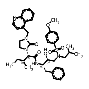 CC[C@H](C)[C@@H](C(=O)N[C@@H](Cc1ccccc1)[C@@H](O)CN(CC(C)C)S(=O)(=O)c1ccc(OC)cc1)N1CCN(Cc2ccnc3ccccc23)C1=O